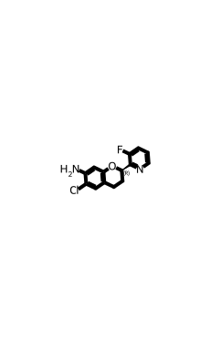 Nc1cc2c(cc1Cl)CC[C@H](c1ncccc1F)O2